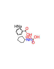 NC1CCCCC1.O=C(O)O.O=C(O)c1ccccc1.[NaH]